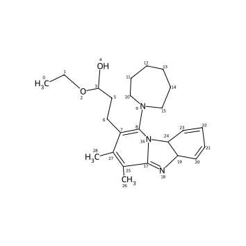 CCOC(O)CCC1=C(N2CCCCCC2)N2C(=NC3C=CC=CC32)C(C)=C1C